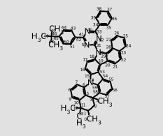 CC1CC2(C)c3c(cccc3C1(C)C)-n1c3ccc4c(c5ccc6ccccc6c5n4-c4nc(-c5ccccc5)nc(-c5ccc(C(C)(C)C)cc5)n4)c3c3cccc2c31